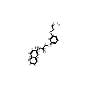 C=CCOc1cccc(OCC(=O)Nc2ccc3ncccc3c2)c1